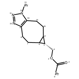 CC(C)C(=O)OC[C@@H]1C2CCc3nnn(C(C)C)c3CCC21